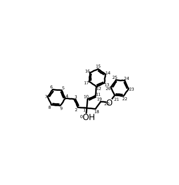 OC(C=Cc1ccccc1)(C=Cc1ccccc1)CCOc1ccccc1